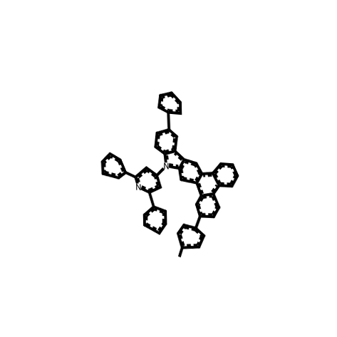 Cc1ccc(-c2ccc3c4ccccc4c4cc5c6cc(-c7ccccc7)ccc6n(-c6cc(-c7ccccc7)nc(-c7ccccc7)c6)c5cc4c3c2)cc1